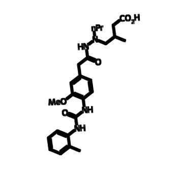 CCCN(CC(C)CC(=O)O)NC(=O)Cc1ccc(NC(=O)Nc2ccccc2C)c(OC)c1